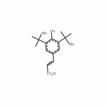 CCCCC(C)(C)c1cc(/C=C/C(=O)OCC)cc(C(C)(C)CCCC)c1O